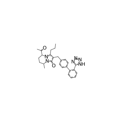 CCCc1c(Cc2ccc(-c3ccccc3-c3nnn[nH]3)cc2)c(=O)n2n1C(C(C)=O)CCC2C